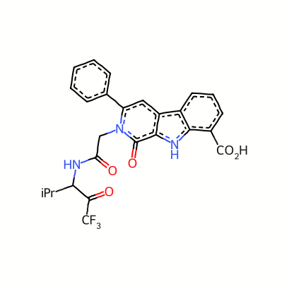 CC(C)C(NC(=O)Cn1c(-c2ccccc2)cc2c([nH]c3c(C(=O)O)cccc32)c1=O)C(=O)C(F)(F)F